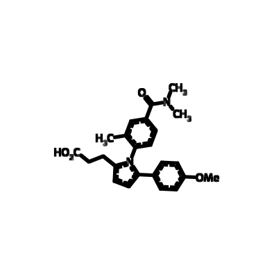 COc1ccc(-c2ccc(CCC(=O)O)n2-c2ccc(C(=O)N(C)C)cc2C)cc1